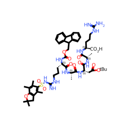 Cc1c(C)c(S(=O)(=O)NC(=N)NCCC[C@H](NC(=O)OCC2c3ccccc3-c3ccccc32)C(=O)N[C@@H](C)C(=O)N[C@@H](CC(=O)OC(C)(C)C)C(=O)N[C@@H](C)C(=O)N[C@@H](CCCNC(=N)N)C(=O)O)c(C)c2c1OC(C)(C)C2